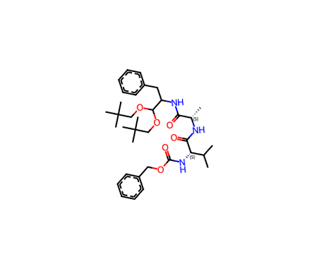 CC(C)[C@H](NC(=O)OCc1ccccc1)C(=O)N[C@@H](C)C(=O)NC(Cc1ccccc1)C(OCC(C)(C)C)OCC(C)(C)C